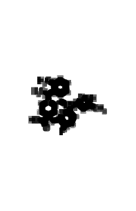 CC[C@@H]1C[C@](Cc2nc(Nc3cc(C)[nH]n3)ccc2F)(C(=O)O)CCN1[C@@H](C)c1ccccc1C